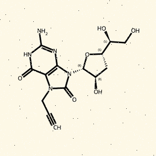 C#CCn1c(=O)n([C@@H]2O[C@H]([C@@H](O)CO)C[C@H]2O)c2nc(N)[nH]c(=O)c21